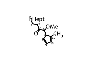 CCCCCCCCCC(=O)C(OC)C1C=CC=C1C